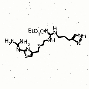 CCOC(=O)N=C(NCCCc1c[nH]cn1)NCCSCc1csc(N=C(N)N)n1